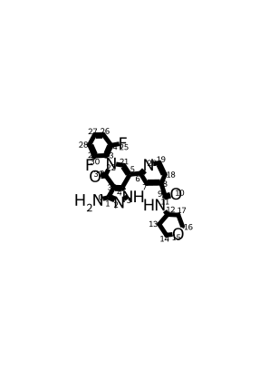 Nc1n[nH]c2c(-c3cc(C(=O)NC4CCOCC4)ccn3)cn(-c3c(F)cccc3F)c(=O)c12